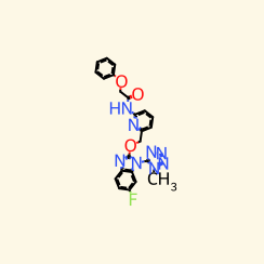 Cn1nnnc1-n1c(OCc2cccc(NC(=O)COc3ccccc3)n2)nc2ccc(F)cc21